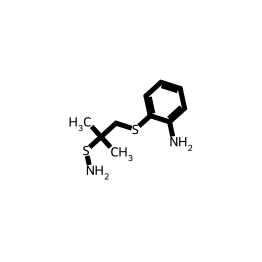 CC(C)(CSc1ccccc1N)SN